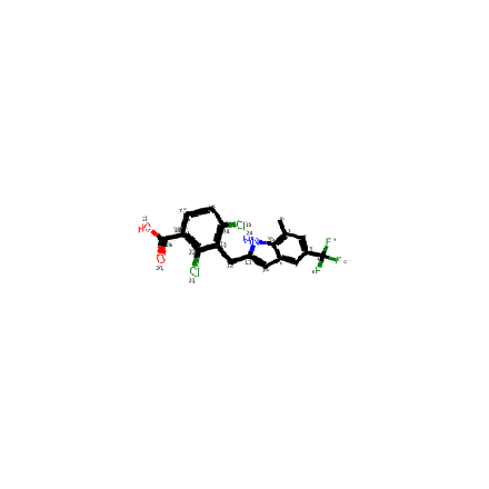 Cc1cc(C(F)(F)F)cc2cc(Cc3c(Cl)ccc(C(=O)O)c3Cl)[nH]c12